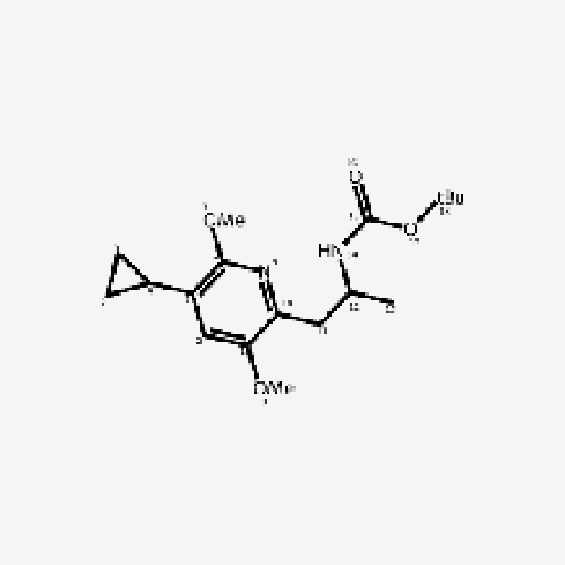 COc1cc(C2CC2)c(OC)nc1CC(C)NC(=O)OC(C)(C)C